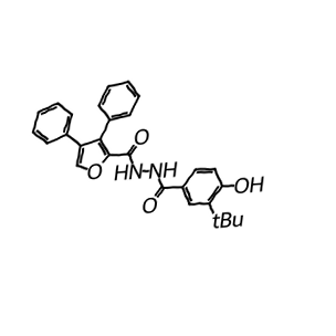 CC(C)(C)c1cc(C(=O)NNC(=O)c2occ(-c3ccccc3)c2-c2ccccc2)ccc1O